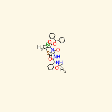 CC(=O)NC(C(=O)NC1C(=O)N2C(C(=O)OC(c3ccccc3)c3ccccc3)C(C)(Br)CS[C@@H]12)c1ccccc1